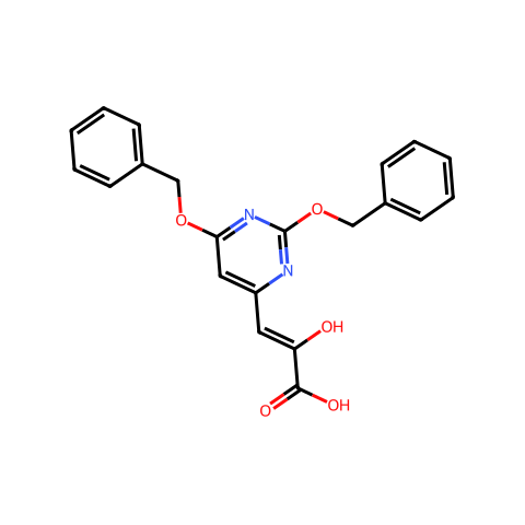 O=C(O)/C(O)=C/c1cc(OCc2ccccc2)nc(OCc2ccccc2)n1